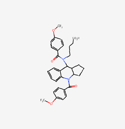 O=C(O)CCCN(C(=O)c1ccc(OC(F)(F)F)cc1)C1c2ccccc2N(C(=O)c2ccc(OC(F)(F)F)cc2)C2CCCC12